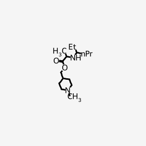 CCCC(CC)NC(C)C(=O)OCC1CCN(C)CC1